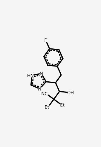 CCC(C#N)(CC)C(O)C(Cc1ccc(F)cc1)c1nc[nH]n1